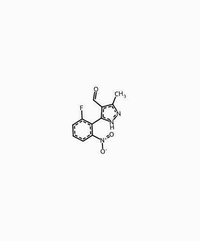 Cc1n[nH]c(-c2c(F)cccc2[N+](=O)[O-])c1C=O